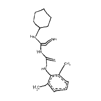 Cc1cccc(C)c1NC(=S)NC(=N)NC1CCCCC1